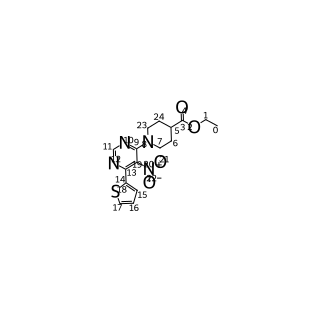 CCOC(=O)C1CCN(c2ncnc(-c3cccs3)c2[N+](=O)[O-])CC1